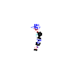 CC(C)ON=C1CCN(c2ncc(-c3cccc(COC(=O)NC(=N)N)c3F)cn2)CC1